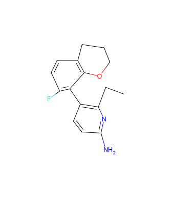 CCc1nc(N)ccc1-c1c(F)ccc2c1OCCC2